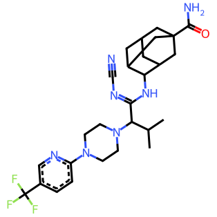 CC(C)C(/C(=N/C#N)NC1C2CC3CC1CC(C(N)=O)(C3)C2)N1CCN(c2ccc(C(F)(F)F)cn2)CC1